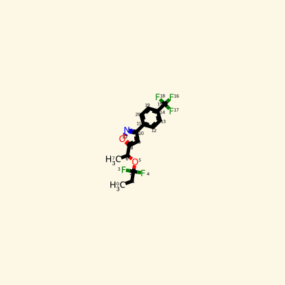 CCC(F)(F)OC(C)c1cc(-c2ccc(C(F)(F)F)cc2)no1